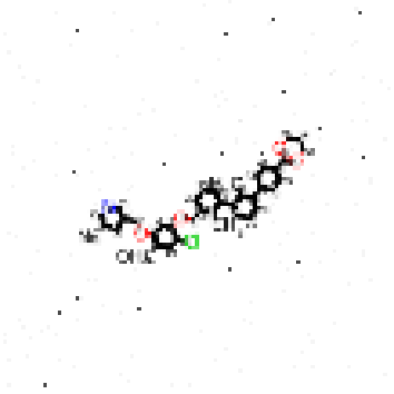 Cc1c(COc2cc(OCc3cncc(C#N)c3)c(C=O)cc2Cl)cccc1-c1cccc(-c2ccc(C3OCCCO3)cc2)c1C